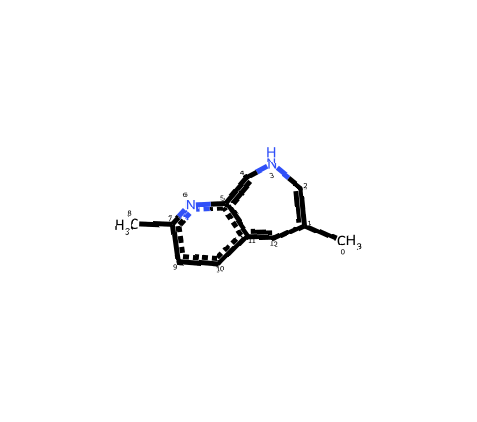 CC1=CNC=c2nc(C)ccc2=C1